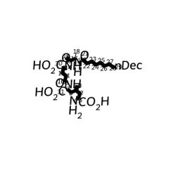 C=C(CC(N)C(=O)O)CC(NC(=O)CC[C@@H](NC(=O)[C@H](C)NC(=O)CCCCCCCCCCCCCCCCC)C(=O)O)C(=O)O